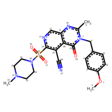 COc1ccc(Cn2c(C)nc3cnc(S(=O)(=O)N4CCN(C)CC4)c(C#N)c3c2=O)cc1